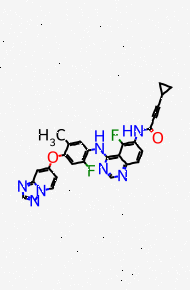 Cc1cc(Nc2ncnc3ccc(NC(=O)C#CC4CC4)c(F)c23)c(F)cc1Oc1ccn2ncnc2c1